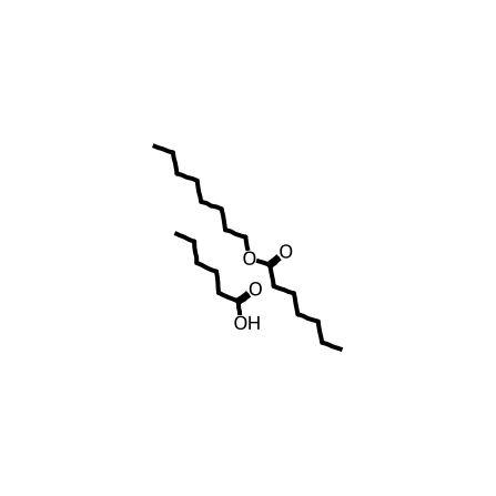 CCCCCC(=O)O.CCCCCCCCOC(=O)CCCCCC